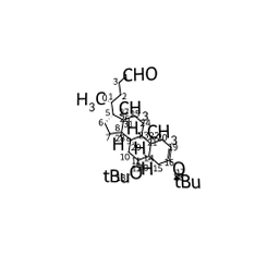 C[C@H](CCC=O)[C@H]1CC[C@H]2[C@@H]3C[C@H](OC(C)(C)C)[C@@H]4CC(OC(C)(C)C)=CC[C@]4(C)[C@H]3CC[C@]12C